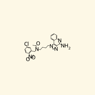 CC(=O)N(CCCCn1cnc2c(N)nc3ccccc3c21)Cc1cc(Cl)ccc1[N+](=O)[O-]